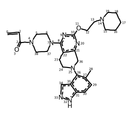 C=CC(=O)N1CCN(c2nc(OCCN3CCCCC3)nc3c2CCN(c2c(C)ccc4[nH]ncc24)C3)CC1